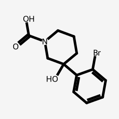 O=C(O)N1CCCC(O)(c2ccccc2Br)C1